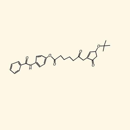 CC(C)(C)OC1C=C(CC(=O)CCCCC(=O)Oc2ccc(NC(=O)c3ccccc3)cc2)C(=O)C1